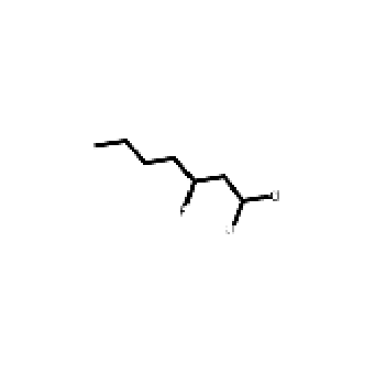 CCCCC(F)[CH]C(Cl)Cl